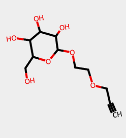 C#CCOCCOC1OC(CO)C(O)C(O)C1O